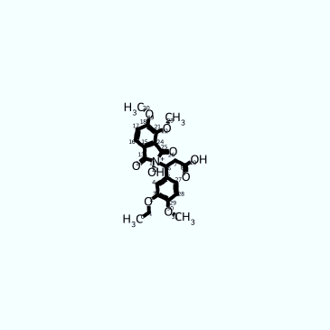 CCOc1cc(C(CC(=O)O)[N+]2(O)C(=O)c3ccc(OC)c(OC)c3C2=O)ccc1OC